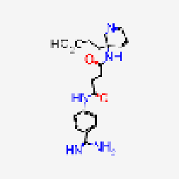 N=C(N)c1ccc(NC(=O)CCC(=O)NC2(CCC(=O)O)C=CC=NC2)cc1